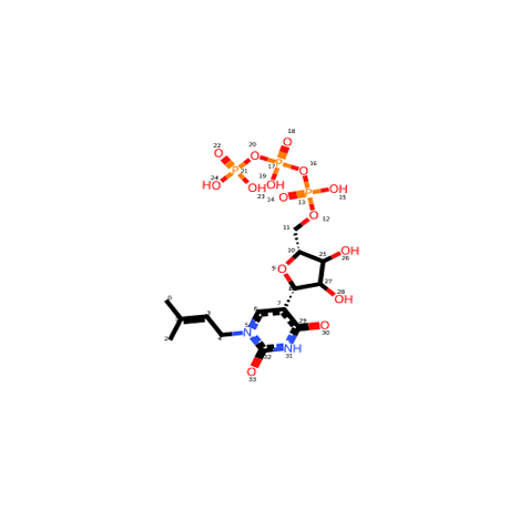 CC(C)=CCn1cc([C@@H]2O[C@H](COP(=O)(O)OP(=O)(O)OP(=O)(O)O)C(O)C2O)c(=O)[nH]c1=O